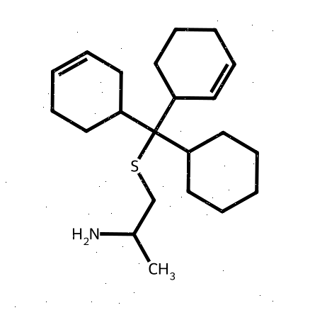 CC(N)CSC(C1C=CCCC1)(C1CC=CCC1)C1CCCCC1